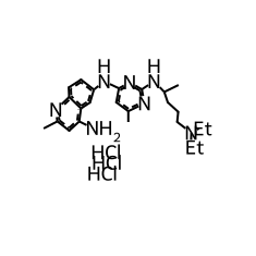 CCN(CC)CCCC(C)Nc1nc(C)cc(Nc2ccc3nc(C)cc(N)c3c2)n1.Cl.Cl.Cl